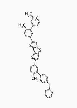 C=C/C=C(\C=C/C)c1cc(-c2cc3sc4cc(-c5ccc(C)c(-c6cc[n+](Cc7ccccc7)cc6)c5)sc4c3s2)ccc1C